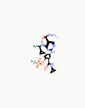 CC(Nc1nc(Nc2ccc(OS(C)(=O)=O)c(C(=O)NC3CC3)c2)ncc1C(N)=O)C1CC1